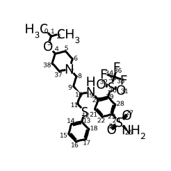 CC(C)OC1CCN(CC[C@H](CSc2ccccc2)Nc2ccc(S(N)(=O)=O)cc2S(=O)(=O)C(F)(F)F)CC1